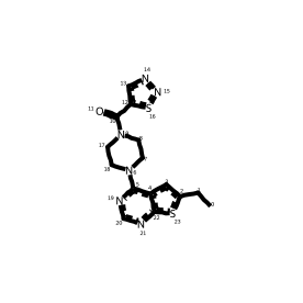 CCc1cc2c(N3CCN(C(=O)c4cnns4)CC3)ncnc2s1